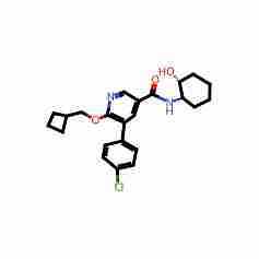 O=C(N[C@@H]1CCCC[C@H]1O)c1cnc(OCC2CCC2)c(-c2ccc(Cl)cc2)c1